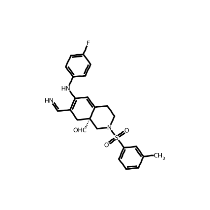 Cc1cccc(S(=O)(=O)N2CCC3=CC(Nc4ccc(F)cc4)=C(C=N)C[C@]3(C=O)C2)c1